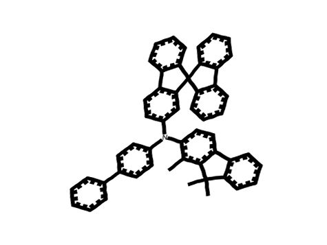 Cc1c(N(c2ccc(-c3ccccc3)cc2)c2ccc3c(c2)C2(c4ccccc4-c4ccccc42)c2ccccc2-3)ccc2c1C(C)(C)c1ccccc1-2